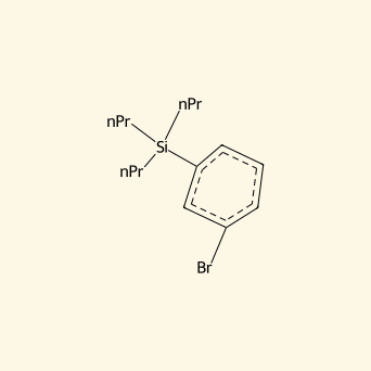 CCC[Si](CCC)(CCC)c1cccc(Br)c1